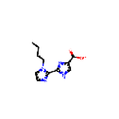 CCCCn1ccnc1-c1nc(C(=O)O)c[nH]1